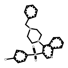 O=S(=O)(c1ccc(Cl)cc1)c1cnc2ccccc2c1N1CCN(Cc2ccccc2)CC1